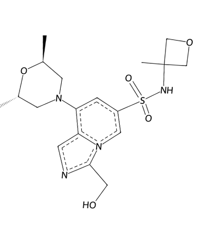 C[C@H]1CN(c2cc(S(=O)(=O)NC3(C)COC3)cn3c(CO)ncc23)C[C@H](C)O1